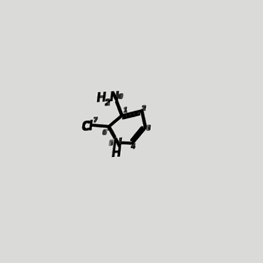 NC1=CC=CN[C]1Cl